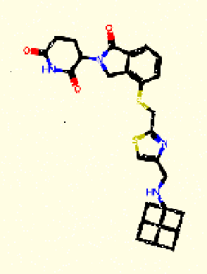 O=C1CCC(N2Cc3c(SCc4nc(CNC56CC7CC8CC(C5)C876)cs4)cccc3C2=O)C(=O)N1